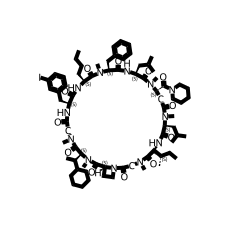 CCCC[C@@H]1NC(=O)[C@H](Cc2cccc(I)c2)NC(=O)CN(C)C(=O)[C@H](C(C)C2CCCCC2)N(C)C(=O)[C@@H]2CCN2C(=O)CN(C)C(=O)[C@H]([C@@H](C)CC)NC(=O)[C@H](CC(C)C)N(C)C(=O)C[C@@H](C(=O)N2CCCCC2)N(C)C(=O)[C@H](CC(C)C)NC(=O)[C@H](Cc2ccccc2)N(C)C1=O